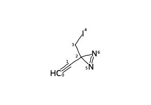 C#CC1(CI)N=N1